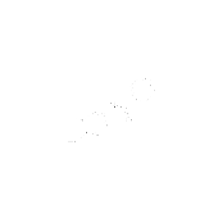 Cc1cc(NC(=O)c2ccccc2)ccc1O